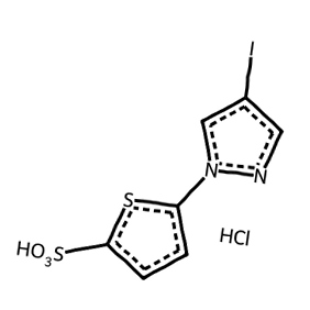 Cl.O=S(=O)(O)c1ccc(-n2cc(I)cn2)s1